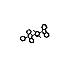 Cc1cc(-n2c3ccccc3c3ccccc32)c(C)cc1-c1c2ccccc2c(-c2ccccc2)c2ccccc12